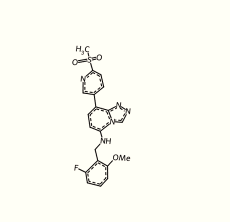 COc1cccc(F)c1CNc1ccc(-c2ccc(S(C)(=O)=O)nc2)c2nncn12